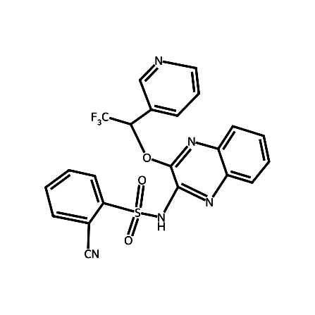 N#Cc1ccccc1S(=O)(=O)Nc1nc2ccccc2nc1OC(c1cccnc1)C(F)(F)F